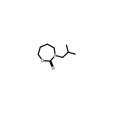 CC(C)CN1CCCCOC1=O